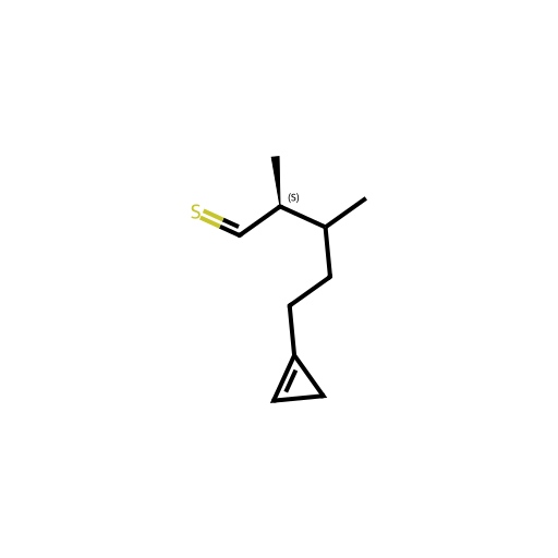 CC(CCC1=CC1)[C@H](C)C=S